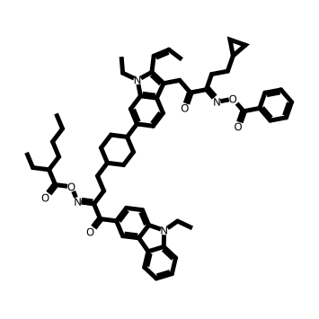 C/C=C\c1c(CC(=O)/C(CCC2CC2)=N/OC(=O)c2ccccc2)c2ccc(C3CCC(CC/C(=N\OC(=O)C(CC)CCCC)C(=O)c4ccc5c(c4)c4ccccc4n5CC)CC3)cc2n1CC